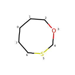 C1CCOCSCC1